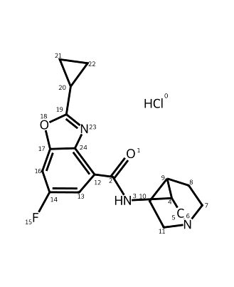 Cl.O=C(NC1CN2CCC1CC2)c1cc(F)cc2oc(C3CC3)nc12